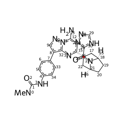 CNC(=O)Nc1ccc(-c2cnn3c(N)cc([C@@H]4C[C@H]5CC[C@@H](C4)N5C(=O)c4nnc[nH]4)nc23)cc1